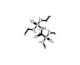 CCOP(=O)(NC(=O)P(=O)(OC)OC)OCC